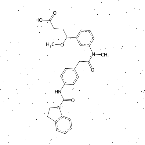 COC(CCC(=O)O)c1cccc(N(C)C(=O)Cc2ccc(NC(=O)N3CCc4ccccc43)cc2)c1